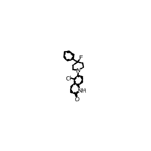 O=c1ccc2c(Cl)c(N3CCC(F)(c4ccccc4)CC3)ccc2[nH]1